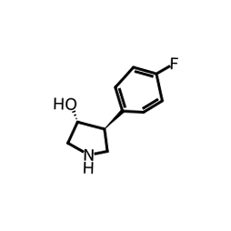 O[C@H]1CNC[C@@H]1c1ccc(F)cc1